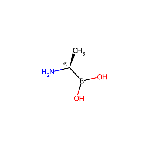 C[C@H](N)B(O)O